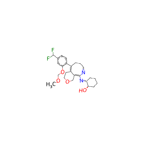 COCOc1cc(C(F)F)ccc1\C1=C2/CCOC/C2=C(\N=C2/CCCC[C@H]2O)/N=C\CC1